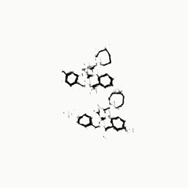 N#Cc1ccc(Cn2c(=O)c3cc(Br)ccc3n3c(N4CCCCCC4)nnc23)cc1.O=c1c2cc(Br)ccc2n2c(N3CCCCCC3)nnc2n1Cc1ccc(Cl)cc1